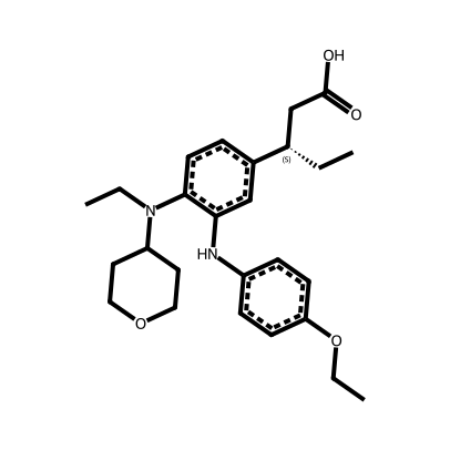 CCOc1ccc(Nc2cc([C@@H](CC)CC(=O)O)ccc2N(CC)C2CCOCC2)cc1